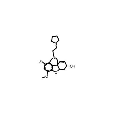 COc1cc(Br)c2c3c1OC1C[C@@H](O)C=CC31CCN(CCN1CCCC1)C2